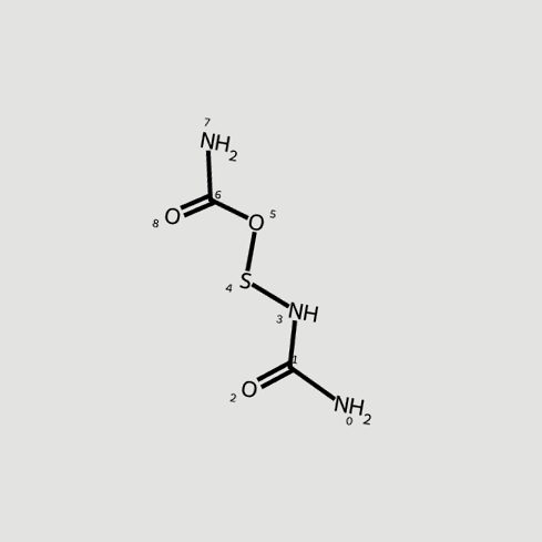 NC(=O)NSOC(N)=O